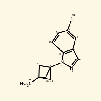 O=C(O)C12CC(n3ncc4cc(Cl)ccc43)(C1)C2